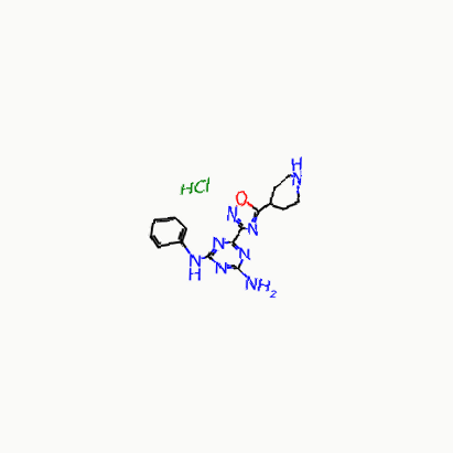 Cl.Nc1nc(Nc2ccccc2)nc(-c2noc(C3CCNCC3)n2)n1